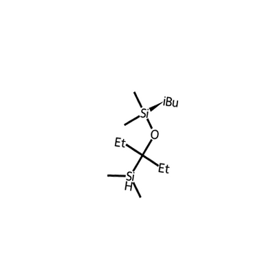 CC[C@H](C)[Si](C)(C)OC(CC)(CC)[SiH](C)C